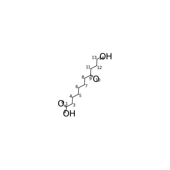 O=C(O)CCCCCCC(=O)CCCO